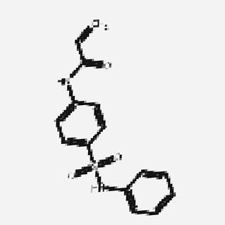 C=CC(=O)Nc1ccc(S(=O)(=O)Nc2ccccc2)cc1